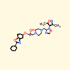 Cc1noc(C)c1N1OC=NC1CN1CCN(C[C@H](O)COc2ccc3oc(-c4ccccc4)nc3c2)CC1